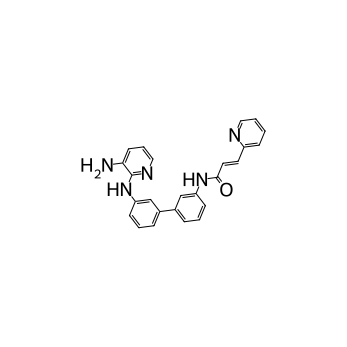 Nc1cccnc1Nc1cccc(-c2cccc(NC(=O)C=Cc3ccccn3)c2)c1